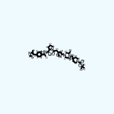 Cc1ncsc1-c1ccc(C(C)NC(=O)C2CCCN2C(=O)Cc2cc(N3CCN(CC4(F)CCN(C(=O)OC(C)(C)C)CC4)C(C)C3)no2)cc1